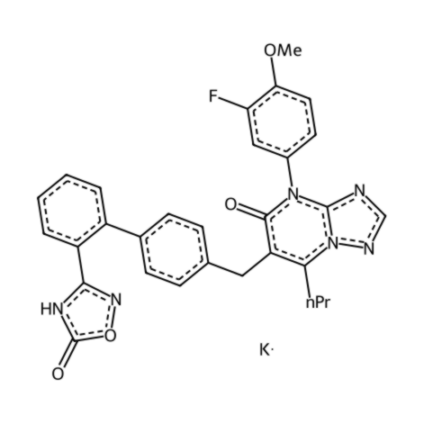 CCCc1c(Cc2ccc(-c3ccccc3-c3noc(=O)[nH]3)cc2)c(=O)n(-c2ccc(OC)c(F)c2)c2ncnn12.[K]